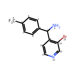 NC(c1ccc(C(F)(F)F)cc1)c1ccncc1Br